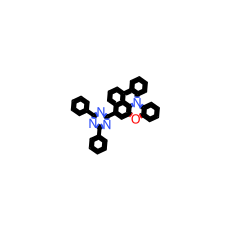 c1ccc(-c2nc(-c3ccccc3)nc(-c3cc4oc5ccccc5n5c6ccccc6c6cccc3c6c4-5)n2)cc1